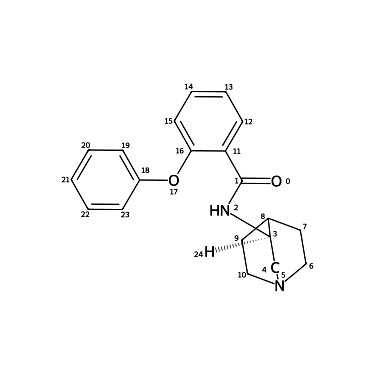 O=C(N[C@@H]1CN2CCC1CC2)c1ccccc1Oc1ccccc1